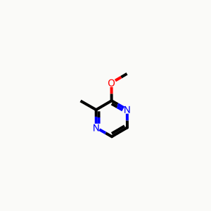 COc1nccnc1C